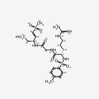 Cc1ccc(S(=O)(=O)N[C@@H](CCCNC(=N)N)C(=O)NCC(=O)N[C@H](/C=C/S(C)(=O)=O)CC(=O)O)cc1